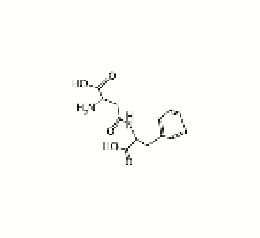 N[C@@H](CC(=O)NC(Cc1ccccc1)C(=O)O)C(=O)O